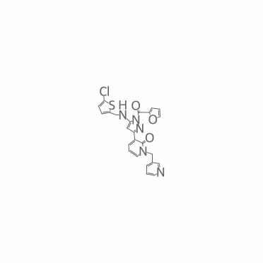 O=C(c1ccco1)n1nc(-c2cccn(Cc3cccnc3)c2=O)cc1NCc1ccc(Cl)s1